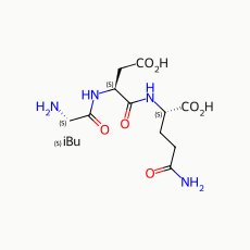 CC[C@H](C)[C@H](N)C(=O)N[C@@H](CC(=O)O)C(=O)N[C@@H](CCC(N)=O)C(=O)O